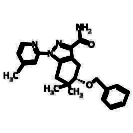 Cc1ccnc(-n2nc(C(N)=O)c3c2CC(C)(C)[C@@H](OCc2ccccc2)C3)c1